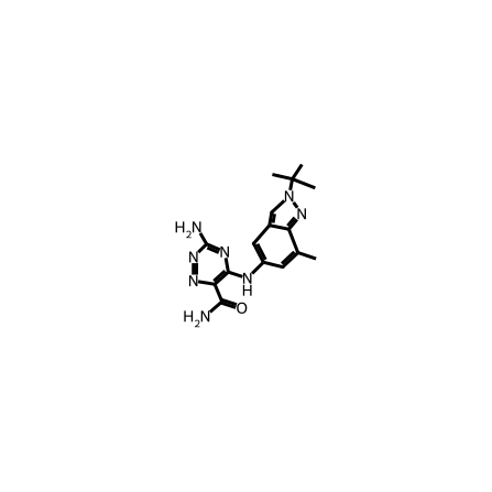 Cc1cc(Nc2nc(N)nnc2C(N)=O)cc2cn(C(C)(C)C)nc12